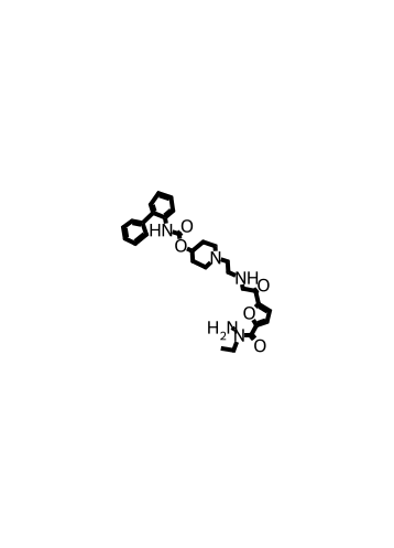 CCN(N)C(=O)c1ccc(C(=O)CNCCN2CCC(OC(=O)Nc3ccccc3-c3ccccc3)CC2)o1